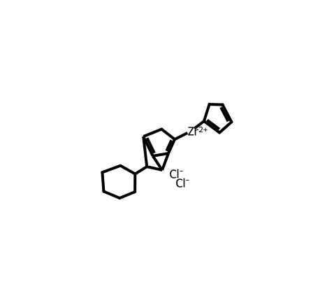 C1=CC[C]([Zr+2][C]2=C3C4=C(C2)C(C2CCCCC2)C34)=C1.[Cl-].[Cl-]